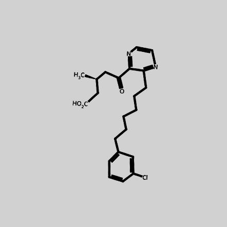 C[C@H](CC(=O)O)CC(=O)c1nccnc1CCCCCCc1cccc(Cl)c1